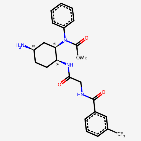 COC(=O)N(c1ccccc1)[C@@H]1C[C@H](N)CC[C@@H]1NC(=O)CNC(=O)c1cccc(C(F)(F)F)c1